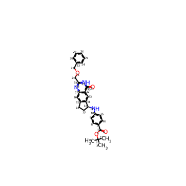 CC(C)(C)OC(=O)c1ccc(N[C@H]2CCc3cc4nc(COCc5ccccc5)[nH]c(=O)c4cc32)cc1